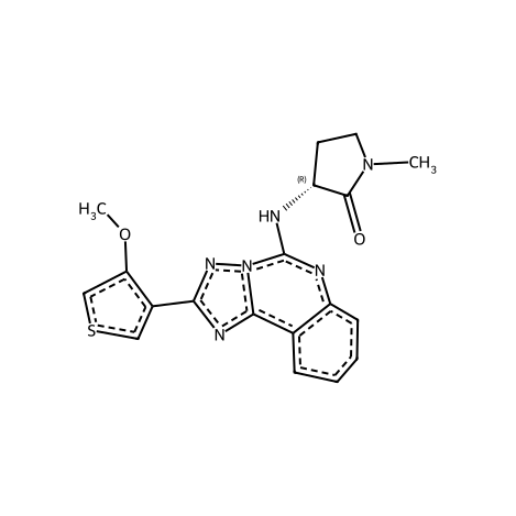 COc1cscc1-c1nc2c3ccccc3nc(N[C@@H]3CCN(C)C3=O)n2n1